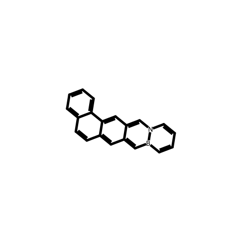 C1=CB2C=c3cc4ccc5ccccc5c4cc3=CN2C=C1